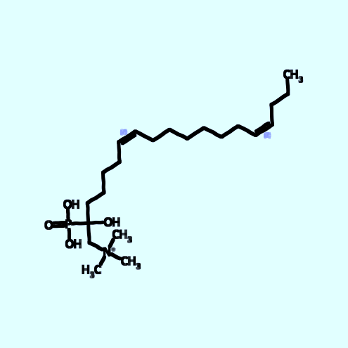 CCC/C=C\CCCCCC/C=C\CCCCC(O)(C[N+](C)(C)C)P(=O)(O)O